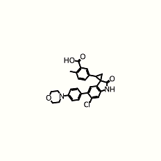 Cc1ccc(C2CC23C(=O)Nc2cc(Cl)c(-c4ccc(N5CCOCC5)cc4)cc23)cc1C(=O)O